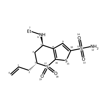 C=CC[C@@H]1C[C@@H](NCC)c2cc(S(N)(=O)=O)sc2S1(=O)=O